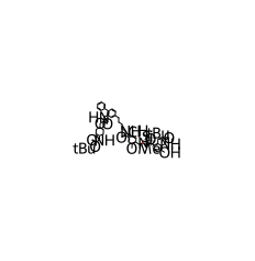 COc1cc(C(=O)NCCCCc2ccc(-c3ccccc3)c(NC(=O)OC3CCC(NC(=O)OC(C)(C)C)CC3)c2)c(Cl)cc1CNC[C@H](O[Si](C)(C)C(C)(C)C)c1ccc(O)c2[nH]c(=O)ccc12